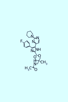 CC(=O)NCC1(C)COC(c2nc(-c3ccc(F)cc3)c(-c3ccnc(N4CCCCC4)n3)[nH]2)OC1